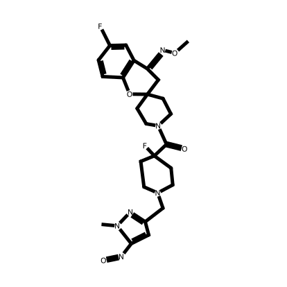 CO/N=C1\CC2(CCN(C(=O)C3(F)CCN(Cc4cc(N=O)n(C)n4)CC3)CC2)Oc2ccc(F)cc21